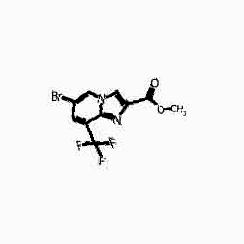 COC(=O)c1cn2cc(Br)cc(C(F)(F)F)c2n1